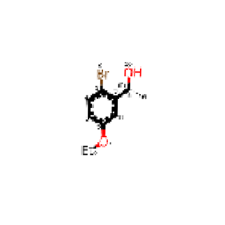 CCOc1ccc(Br)c([C@@H](C)O)c1